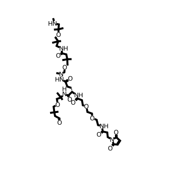 CNCC(C)(C)OCC(C)(C)CNC(=O)CC(C)(C)COCN(C)NC(=O)CC[C@H](NC(=O)CCOCCOCCNC(=O)CCN1C(=O)C=CC1=O)C(=O)NC(C)(C)COCC(C)(C)CC=O